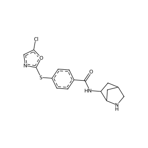 O=C(NC1CC2CNC1C2)c1ccc(Sc2ncc(Cl)o2)cc1